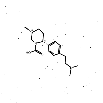 C[C@H]1CC[C@H](c2ccc(CCN(C)C)cc2)N(C(=O)O)C1